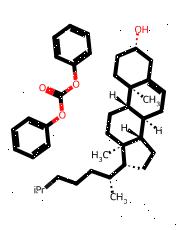 CC(C)CCC[C@@H](C)[C@H]1CC[C@H]2[C@@H]3CC=C4C[C@@H](O)CC[C@]4(C)[C@H]3CC[C@]12C.O=C(Oc1ccccc1)Oc1ccccc1